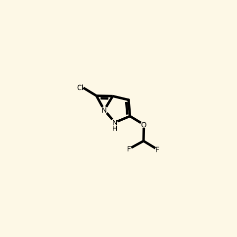 FC(F)OC1=CC2=C(Cl)N2N1